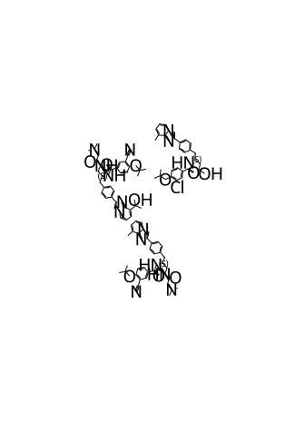 CC(C)Oc1ccc(C(=O)N[C@H](CNC(=O)CN(C)C)Cc2ccc(-c3cn4cccc(C(C)O)c4n3)cc2)cc1C#N.Cc1cccn2cc(-c3ccc(C[C@@H](CCO)NC(=O)c4ccc(OC(C)C)c(Cl)c4)cc3)nc12.Cc1cccn2cc(-c3ccc(C[C@@H](CNC(=O)CN(C)C)NC(=O)c4ccc(OC(C)C)c(C#N)c4)cc3)nc12